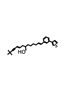 CC(C)(C)C#CC=CCC(CO)CCCCC=Cc1cccc(-c2ccsc2)c1